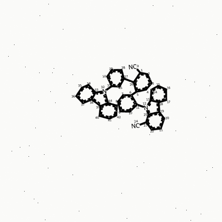 N#Cc1cccc(-c2ccccc2-n2c3ccccc3c3cccc(C#N)c32)c1-c1cccc(-n2c3ccccc3c3ccccc32)c1